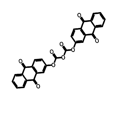 O=C(OC(=O)Oc1ccc2c(c1)C(=O)c1ccccc1C2=O)Oc1ccc2c(c1)C(=O)c1ccccc1C2=O